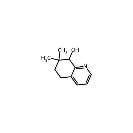 CC1(C)CCc2cccnc2C1O